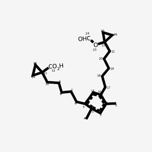 Cc1cc(C)c(CCCCCC2(C(=O)O)CC2)cc1CCCCCC1(OC=O)CC1